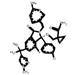 COc1ccc(CN2C(=O)c3cc(C(C)(O)c4cnn(C)c4)cc(F)c3[C@]2(OCC2(C(N)=O)CC2)c2ccc(Cl)cc2)cn1